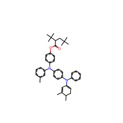 CC1=CC(N(c2ccccc2)c2ccc(N(c3ccc(OC(=O)C(CC(C)(C)C)C(C)(C)C)cc3)c3cccc(C)c3)cc2)=CCC1C